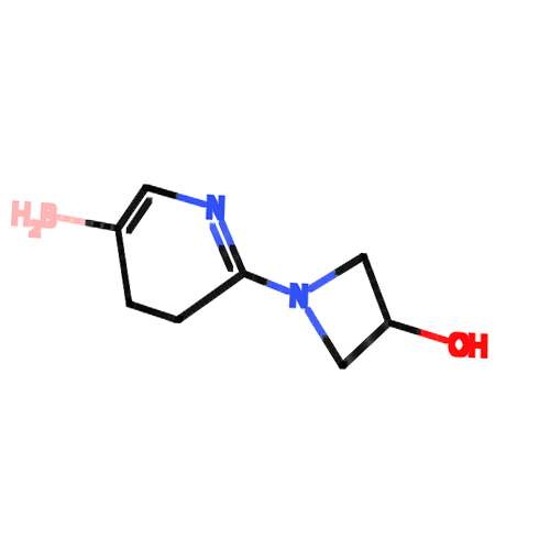 BC1=CN=C(N2CC(O)C2)CC1